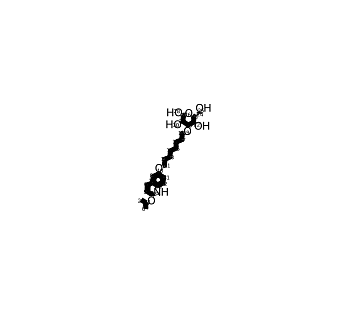 CC(C)OC1C=Cc2cc(OCCCCCCCCO[C@H]3[C@H](O)[C@@H](CO)OC(O)[C@@H]3O)ccc2N1